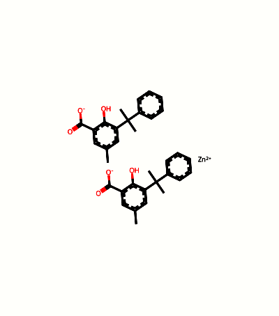 Cc1cc(C(=O)[O-])c(O)c(C(C)(C)c2ccccc2)c1.Cc1cc(C(=O)[O-])c(O)c(C(C)(C)c2ccccc2)c1.[Zn+2]